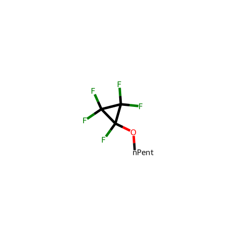 CCCCCOC1(F)C(F)(F)C1(F)F